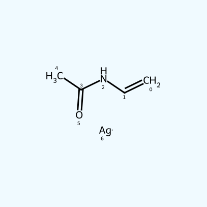 C=CNC(C)=O.[Ag]